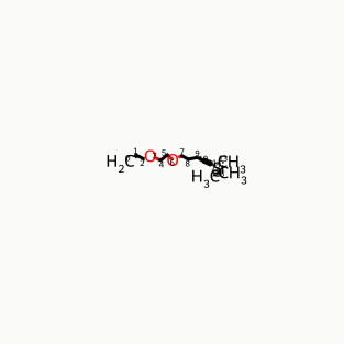 C=CCOCCOCCCC#C[Si](C)(C)C